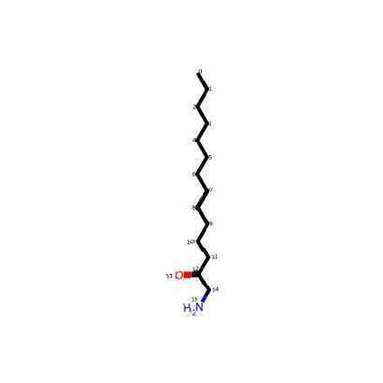 CCCCCCCCCCC[CH]C(=O)CN